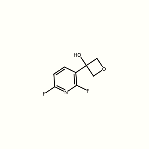 OC1(c2ccc(F)nc2F)COC1